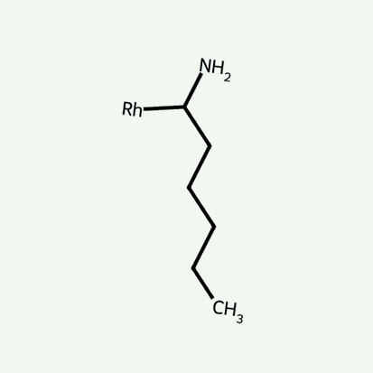 CCCCC[CH](N)[Rh]